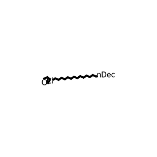 C1CCOC1.CCCCCCCCCCCCCCCCCCCCCCCCCl